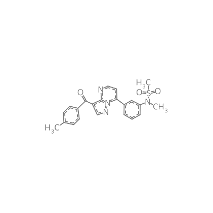 Cc1ccc(C(=O)c2cnn3c(-c4cccc(N(C)S(C)(=O)=O)c4)ccnc23)cc1